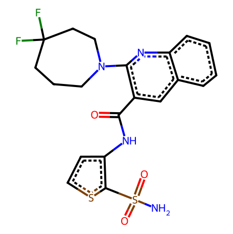 NS(=O)(=O)c1sccc1NC(=O)c1cc2ccccc2nc1N1CCCC(F)(F)CC1